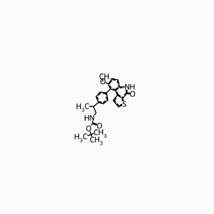 COc1ccc2[nH]c(=O)c3sccc3c2c1-c1ccc(C(C)CNC(=O)OC(C)(C)C)cc1